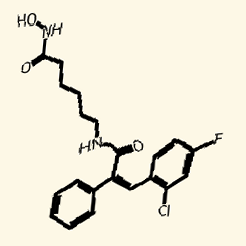 O=C(CCCCCNC(=O)C(=Cc1ccc(F)cc1Cl)c1ccccc1)NO